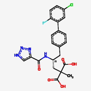 CC(C[C@@H](Cc1ccc(-c2cc(Cl)ccc2F)cc1)NC(=O)c1c[nH]nn1)(C(=O)O)C(=O)O